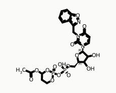 CC(=O)OC1CCOP(=O)(OP(=O)(O)OC[C@H]2O[C@@H](n3ccc(=O)n(Cc4noc5ccccc45)c3=O)C(O)C2O)O1